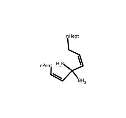 BC(B)(/C=C\CCCCC)/C=C\CCCCCCCC